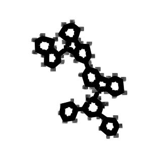 c1ccc(-c2cc(-c3ccccc3)nc(-n3c4ccccc4c4cc(-c5ccc6c7ccccc7n(-c7cccc8ccccc78)c6c5)ccc43)n2)cc1